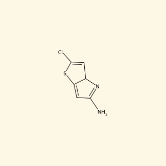 NC1=NC2C=C(Cl)SC2=C1